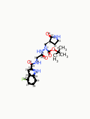 CC(C)(C)OC(=O)N(C[C@@H]1CCNC1=O)NC(=O)CNC(=O)c1cc2c(F)cccc2[nH]1